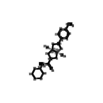 Cc1ccc(N2C[C@H]3CN(C(=O)NC4CCCCC4)C[C@H]3C2)cc1